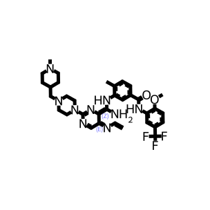 C=C/N=C1/C=NC(N2CCN(CC3CCN(C)CC3)CC2)=N/C1=C(/N)Nc1cc(C(=O)Nc2cc(C(F)(F)F)ccc2OC)ccc1C